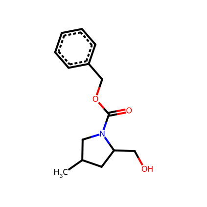 CC1CC(CO)N(C(=O)OCc2ccccc2)C1